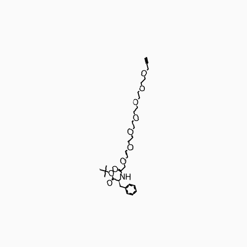 C#CCOCCOCCOCCOCCOCCOCCOCC(=O)N[C@@H](Cc1ccccc1)C(=O)OC(C)(C)C